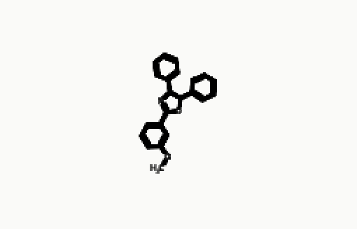 COc1cccc(C2=NC(c3ccccc3)C(c3ccccc3)O2)c1